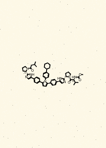 COC(=O)N[C@H](C(=O)N1CCC[C@H]1c1ncc(-c2ccc(-c3ccc(-c4ccc(-c5cnc([C@@H]6CCCN6C(=O)[CH]C(C)C)[nH]5)cc4)n3-c3ccc(C4CCCCC4)cc3)cc2)[nH]1)C(C)C